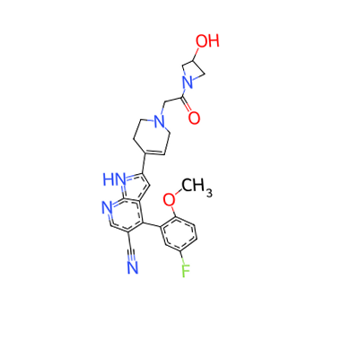 COc1ccc(F)cc1-c1c(C#N)cnc2[nH]c(C3=CCN(CC(=O)N4CC(O)C4)CC3)cc12